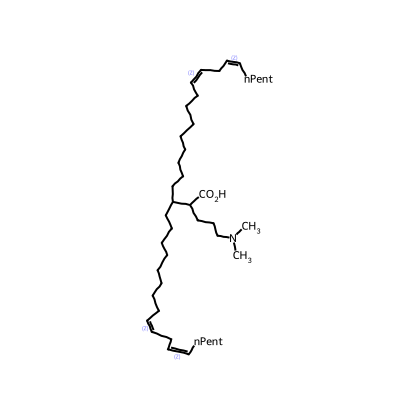 CCCCC/C=C\C/C=C\CCCCCCCCC(CCCCCCCC/C=C\C/C=C\CCCCC)C(CCCN(C)C)C(=O)O